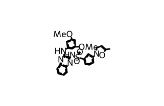 COc1cc(Nc2nc3ccccc3nc2NS(=O)(=O)c2cccc(N3CC=C(C)O3)c2)cc(OC)c1